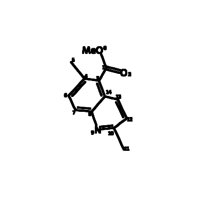 COC(=O)c1c(C)ccc2nc(C)ccc12